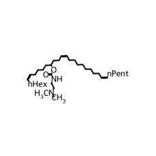 CCCCC/C=C\CCCCCCCC/C=C\CCC(CCCC/C=C\CCCCCC)OC(=O)NCCN(C)C